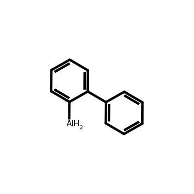 [AlH2][c]1ccccc1-c1ccccc1